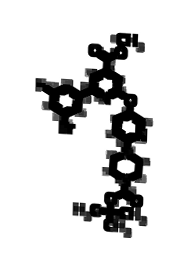 COC(=O)c1cc(Oc2ccc(N3CCN(C(=O)OC(C)(C)C)CC3)nc2)nc(-c2cc(F)cc(Br)c2)c1